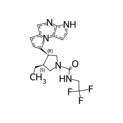 CC[C@@H]1CN(C(=O)NCC(F)(F)F)C[C@@H]1c1ccc2cnc3[nH]ccc3n12